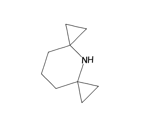 C1CC2(CC2)NC2(C1)CC2